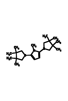 Cn1c(B2CC(C)(C)C(C)(C)C2)ccc1B1CC(C)(C)C(C)(C)C1